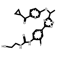 CC(Oc1ccc(C(=O)C2CC2)nc1)c1noc(-c2ccc(NC(=O)NCCO)c(F)c2)n1